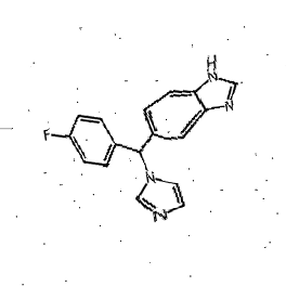 Fc1ccc(C(c2ccc3[nH][c]nc3c2)n2ccnc2)cc1